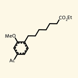 CCOC(=O)CCCCCCc1ccc(C(C)=O)cc1OC